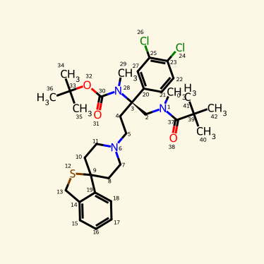 CN(C[C@](CCN1CCC2(CC1)SCc1ccccc12)(c1ccc(Cl)c(Cl)c1)N(C)C(=O)OC(C)(C)C)C(=O)C(C)(C)C